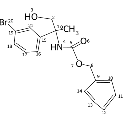 CC(CO)(NC(=O)OCc1ccccc1)c1cccc(Br)c1